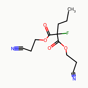 CCCC(F)(C(=O)OCCC#N)C(=O)OCCC#N